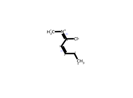 CC/C=C\C(Cl)=N/C